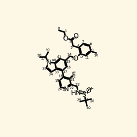 CCOC(=O)Cc1ccc(C)cc1OCc1cc(-c2ccnc(CN[S@@+]([O-])C(C)(C)C)c2F)c2ccn(C(C)C)c2c1